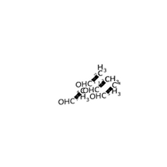 CC=O.CC=O.CC=O.CC=O